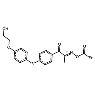 CCC(=O)O/N=C(\C)C(=O)c1ccc(Sc2ccc(OCCO)cc2)cc1